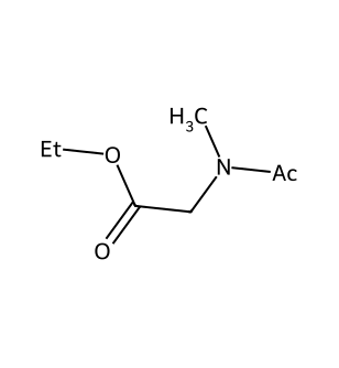 [CH2]C(=O)N(C)CC(=O)OCC